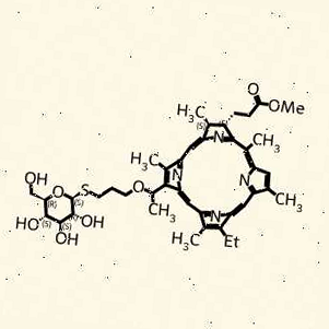 CCC1=C(C)C2=NC1=CC1=NC(=C(C)C3=NC(=CC4=NC(=C2)C(C(C)OCCCS[C@@H]2O[C@H](CO)[C@@H](O)[C@H](O)[C@H]2O)=C4C)[C@@H](C)[C@@H]3CCC(=O)OC)C=C1C